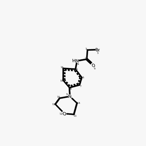 O=C(CBr)Nc1ccc(N2CCOCC2)cc1